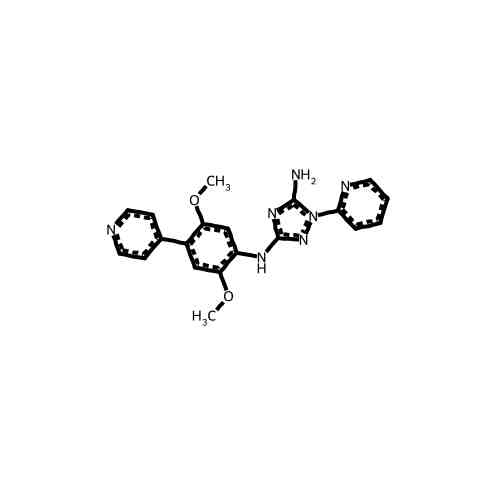 COc1cc(-c2ccncc2)c(OC)cc1Nc1nc(N)n(-c2ccccn2)n1